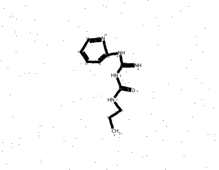 CCCNC(=O)NC(=N)Nc1ccccn1